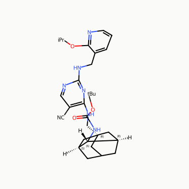 CC(C)Oc1ncccc1CNc1ncc(C#N)c(NC[C@@]23CC4C[C@H](C2)[C@@H](NC(=O)OC(C)(C)C)[C@@H](C4)C3)n1